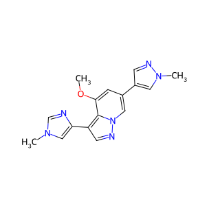 COc1cc(-c2cnn(C)c2)cn2ncc(-c3cn(C)cn3)c12